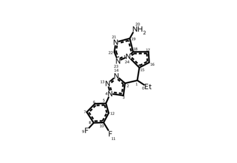 CCC(c1cn(-c2ccc(F)c(F)c2)nn1)c1ccc2c(N)ncnn12